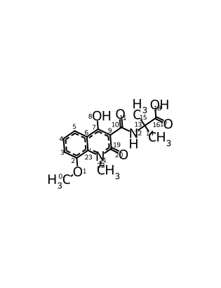 COc1cccc2c(O)c(C(=O)NC(C)(C)C(=O)O)c(=O)n(C)c12